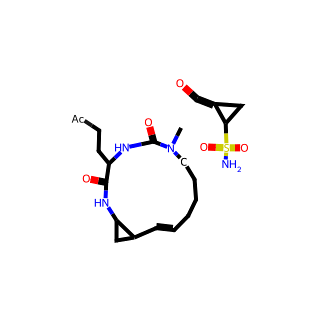 CC(=O)CCC1NC(=O)N(C)CCCC/C=C/C2CC2NC1=O.NS(=O)(=O)C1CC1=C=O